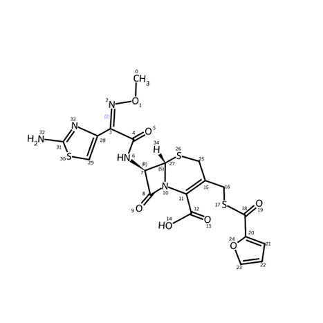 CO/N=C(\C(=O)N[C@@H]1C(=O)N2C(C(=O)O)=C(CSC(=O)c3ccco3)CS[C@@H]12)c1csc(N)n1